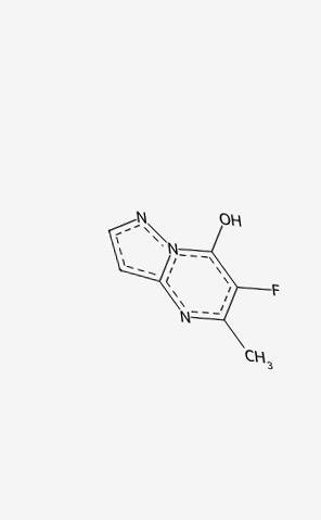 Cc1nc2ccnn2c(O)c1F